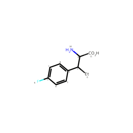 CCC(c1ccc(F)cc1)C(N)C(=O)O